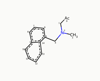 CC(=O)CN(C)Cc1cccc2ccccc12